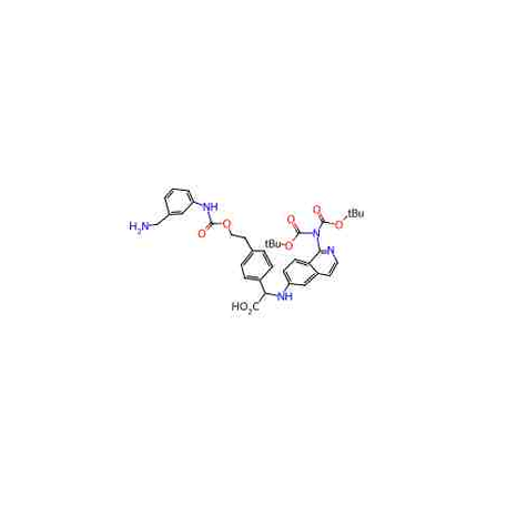 CC(C)(C)OC(=O)N(C(=O)OC(C)(C)C)c1nccc2cc(NC(C(=O)O)c3ccc(CCOC(=O)Nc4cccc(CN)c4)cc3)ccc12